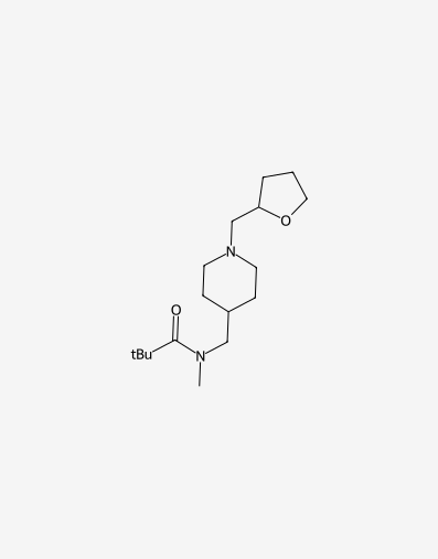 CN(CC1CCN(CC2CCCO2)CC1)C(=O)C(C)(C)C